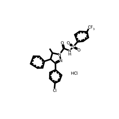 CC1C(c2ccccc2)C(c2ccc(Cl)cc2)=NN1C(=O)NS(=O)(=O)c1ccc(C(F)(F)F)cc1.Cl